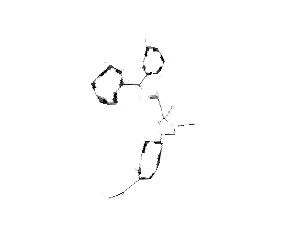 CN(CCc1ccc(CN)cc1)C(C)(C)COC(c1ccccc1)c1ccccc1